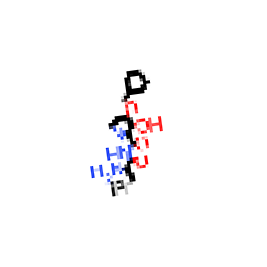 CC(C)C[C@H](N)C(=O)NC(=O)c1nccc(OCC2CCCCC2)c1O